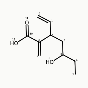 C=CC(CC(O)CC)C(=C)C(=O)O